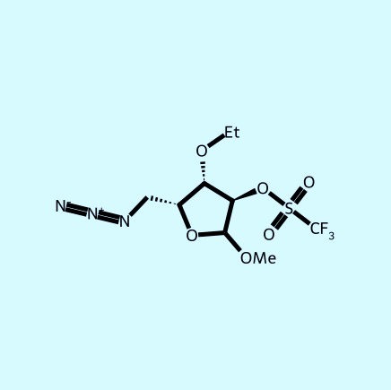 CCO[C@H]1[C@@H](CN=[N+]=[N-])OC(OC)[C@@H]1OS(=O)(=O)C(F)(F)F